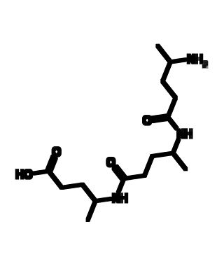 CC(N)CCC(=O)NC(C)CCC(=O)NC(C)CCC(=O)O